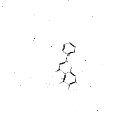 COc1c(O)cc2oc(-c3ccccc3)cc(=O)c2c1OC